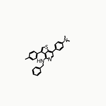 Cc1ccc(-c2csc3c(-c4ccc(N(C)C)cc4)cnc(NCc4ccccc4)c23)cc1